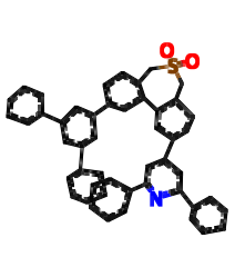 O=S1(=O)Cc2ccc(-c3cc(-c4ccccc4)cc(-c4ccccc4)c3)cc2-c2cc(-c3cc(-c4ccccc4)nc(-c4ccccc4)c3)ccc2C1